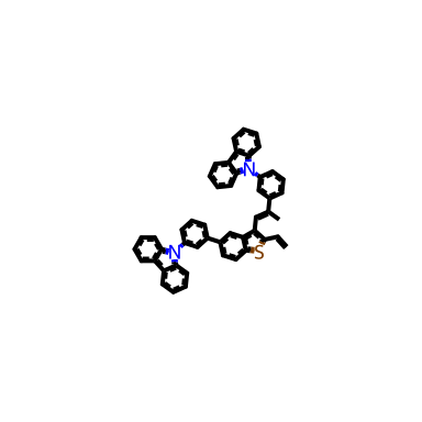 C=Cc1sc2ccc(-c3cccc(-n4c5ccccc5c5ccccc54)c3)cc2c1/C=C(\C)c1cccc(-n2c3ccccc3c3ccccc32)c1